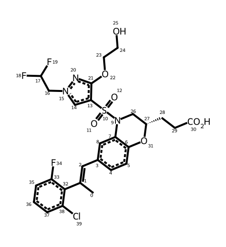 C/C(=C\c1ccc2c(c1)N(S(=O)(=O)c1cn(CC(F)F)nc1OCCO)C[C@H](CCC(=O)O)O2)c1c(F)cccc1Cl